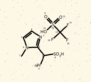 CCCC(c1nccn1C)S(=O)(=O)O.O=S(=O)(O)C(F)(F)F